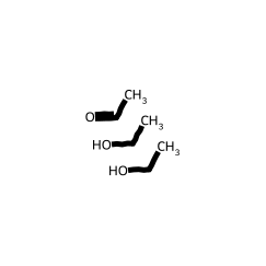 CC=O.CCO.CCO